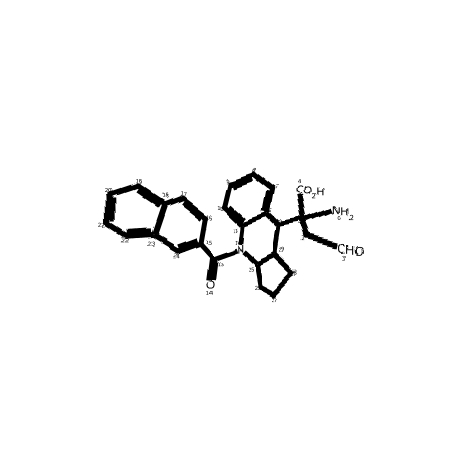 NC(CC=O)(C(=O)O)C1c2ccccc2N(C(=O)c2ccc3ccccc3c2)C2CCCC21